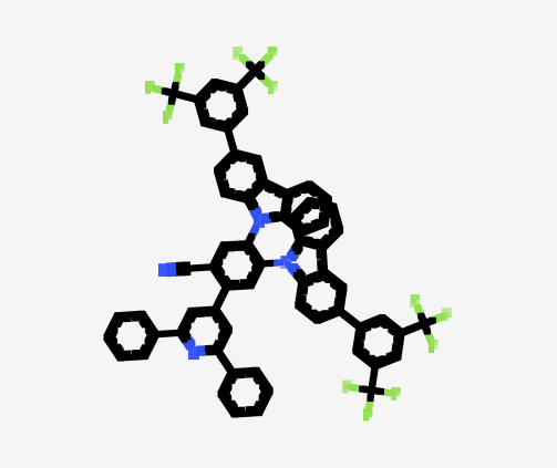 N#Cc1cc(-n2c3ccccc3c3cc(-c4cc(C(F)(F)F)cc(C(F)(F)F)c4)ccc32)c(-n2c3ccccc3c3cc(-c4cc(C(F)(F)F)cc(C(F)(F)F)c4)ccc32)cc1-c1cc(-c2ccccc2)nc(-c2ccccc2)c1